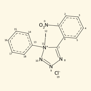 O=[N+]([O-])c1ccccc1C1=NN=N[N+]1(I)c1ccccc1.[Cl-]